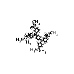 CCCC(C)(C)c1ccc(N(c2ccc(N(c3ccc(C(C)C)cc3)c3cccc(C(=O)OCC)c3)cc2)c2cccc(C(=O)OCC)c2)cc1